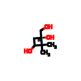 CC1(C)C(O)C[C@@]1(O)CO